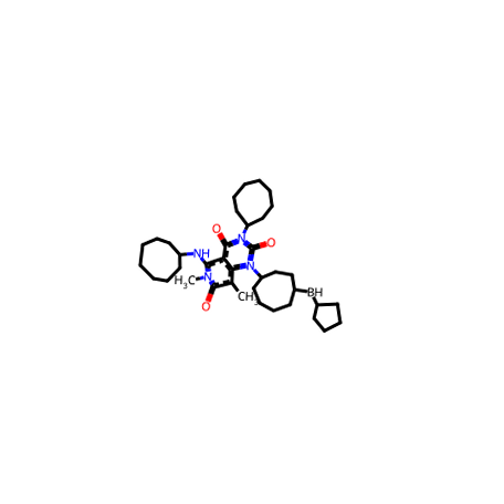 Cc1c(=O)n(C)c(NC2CCCCCCC2)c2c(=O)n(C3CCCCCCC3)c(=O)n(C3CCCCC(BC4CCCC4)CC3)c12